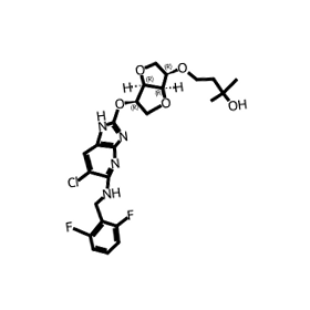 CC(C)(O)CCO[C@@H]1CO[C@H]2[C@@H]1OC[C@H]2Oc1nc2nc(NCc3c(F)cccc3F)c(Cl)cc2[nH]1